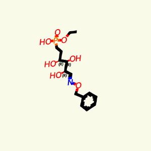 CCOP(=O)(O)CC[C@@H](O)[C@@H](O)[C@H](O)C=NOCc1ccccc1